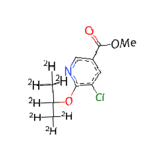 [2H]C([2H])([2H])C([2H])(Oc1ncc(C(=O)OC)cc1Cl)C([2H])([2H])[2H]